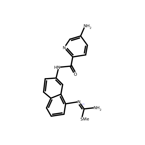 CS/C(N)=N\c1cccc2ccc(NC(=O)c3ccc(N)cn3)cc12